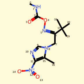 CNC(=O)ON=C(Cn1cnc([N+](=O)[O-])c1C)C(C)(C)C